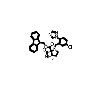 NC(=O)[C@]1(C(=O)OCC2c3ccccc3-c3ccccc32)CCCN1Cc1cc(Cl)ccc1-n1cncn1